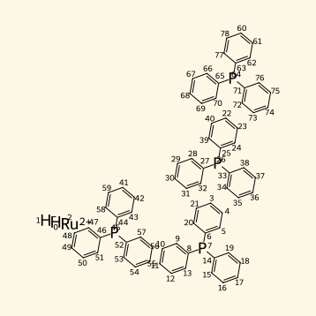 [H-].[H-].[Ru+2].c1ccc(P(c2ccccc2)c2ccccc2)cc1.c1ccc(P(c2ccccc2)c2ccccc2)cc1.c1ccc(P(c2ccccc2)c2ccccc2)cc1.c1ccc(P(c2ccccc2)c2ccccc2)cc1